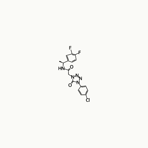 C[C@H](NC(=O)Cn1nnn(-c2ccc(Cl)cc2)c1=O)c1ccc(F)c(F)c1